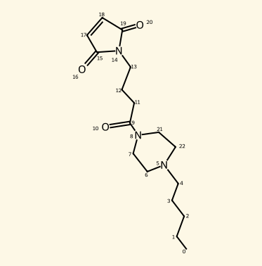 CCCCCN1CCN(C(=O)CCCN2C(=O)C=CC2=O)CC1